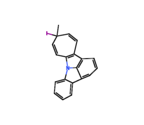 CC1(I)C=Cc2c(n3c4ccccc4c4cccc2c43)C=C1